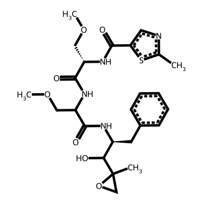 COCC(NC(=O)[C@H](COC)NC(=O)c1cnc(C)s1)C(=O)N[C@@H](Cc1ccccc1)C(O)C1(C)CO1